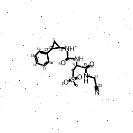 CS(=O)(=O)CC(NC(=O)NC1CC1c1ccccc1)C(=O)NCC#N